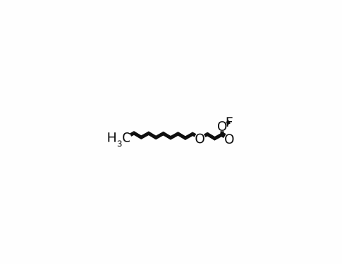 CCCCCCCCCCOCCC(=O)OF